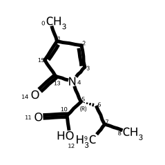 Cc1ccn([C@H](CC(C)C)C(=O)O)c(=O)c1